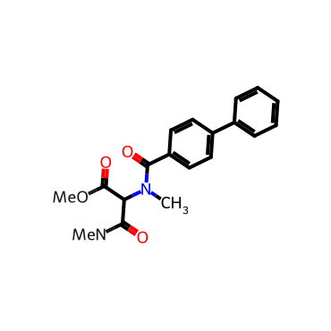 CNC(=O)C(C(=O)OC)N(C)C(=O)c1ccc(-c2ccccc2)cc1